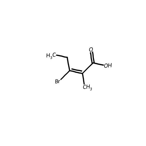 CC/C(Br)=C(/C)C(=O)O